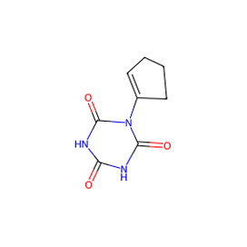 O=c1[nH]c(=O)n(C2=CCCC2)c(=O)[nH]1